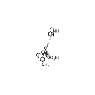 CCOC(=O)C(c1cc(C)cc2c1C(C)(C)COC2)N1CC(OCCCCCc2ccc3c(n2)NCCC3)C1